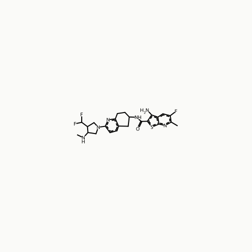 CNC1CN(c2ccc3c(n2)CCC(NC(=O)c2sc4nc(C)c(F)cc4c2N)C3)CC1C(F)F